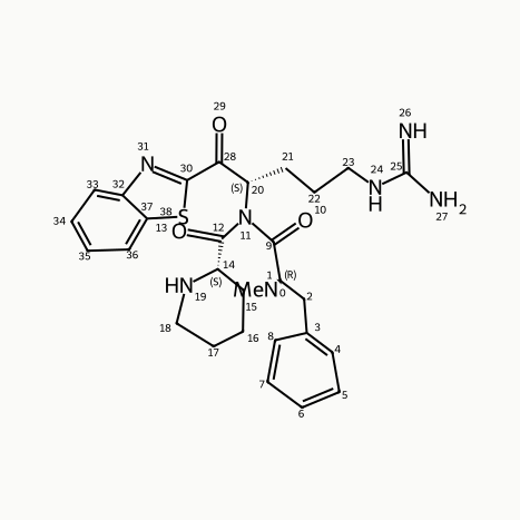 CN[C@H](Cc1ccccc1)C(=O)N(C(=O)[C@@H]1CCCCN1)[C@@H](CCCNC(=N)N)C(=O)c1nc2ccccc2s1